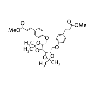 COC(=O)/C=C/c1ccc(OC[C@@H]2OC(C)(C)O[C@H]2[C@H]2OC(C)(C)O[C@@H]2COc2ccc(/C=C/C(=O)OC)cc2)cc1